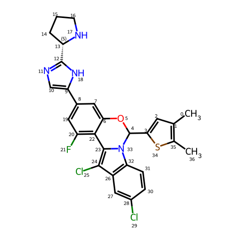 Cc1cc(C2Oc3cc(-c4cnc([C@@H]5CCCN5)[nH]4)cc(F)c3-c3c(Cl)c4cc(Cl)ccc4n32)sc1C